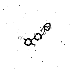 Fc1ccc(C(F)(F)F)cc1-c1ccc(O[C@H]2CN3CCC2CC3)cn1